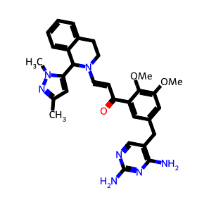 COc1cc(Cc2cnc(N)nc2N)cc(C(=O)/C=C/N2CCc3ccccc3C2c2cc(C)nn2C)c1OC